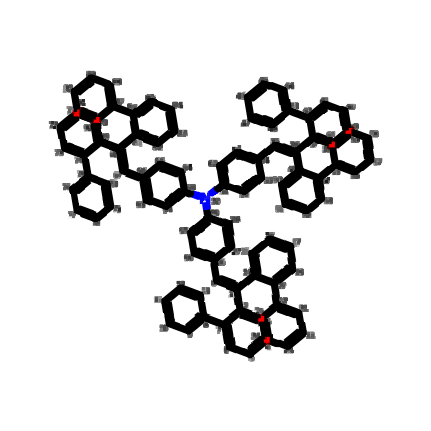 C(=C(c1ccccc1-c1ccccc1)c1ccccc1-c1ccccc1)c1ccc(N(c2ccc(C=C(c3ccccc3-c3ccccc3)c3ccccc3-c3ccccc3)cc2)c2ccc(C=C(c3ccccc3-c3ccccc3)c3ccccc3-c3ccccc3)cc2)cc1